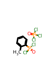 Cc1ccccc1P(=O)(Cl)Cl.O=P(Cl)(Cl)Cl